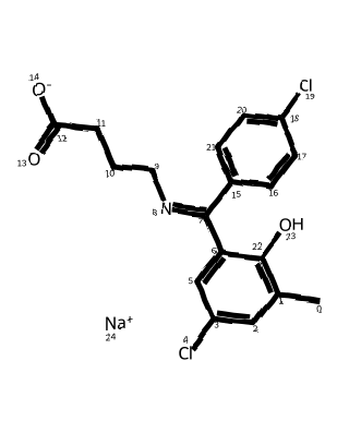 Cc1cc(Cl)cc(/C(=N/CCCC(=O)[O-])c2ccc(Cl)cc2)c1O.[Na+]